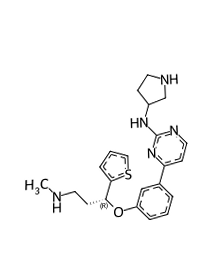 CNCC[C@@H](Oc1cccc(-c2ccnc(NC3CCNC3)n2)c1)c1cccs1